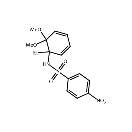 CCC1(NS(=O)(=O)c2ccc([N+](=O)[O-])cc2)C=CC=CC1(OC)OC